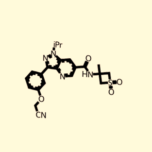 CC(C)n1nc(-c2cccc(OCC#N)c2)c2ncc(C(=O)NC3(C)CS(=O)(=O)C3)cc21